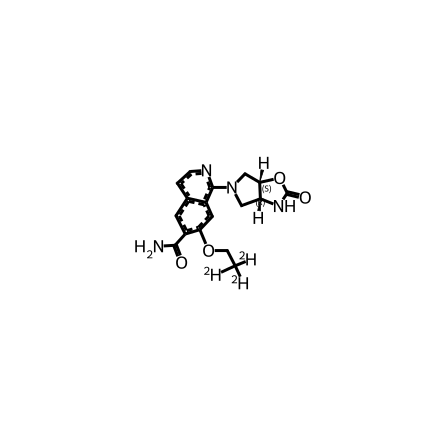 [2H]C([2H])([2H])COc1cc2c(N3C[C@@H]4OC(=O)N[C@@H]4C3)nccc2cc1C(N)=O